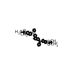 C=C(C)C(=O)Oc1ccc2cc(N(c3ccccc3)c3ccc4c(ccc5cc(N(c6ccccc6)c6ccc7cc(OC(=O)C(=C)C)ccc7c6)ccc54)c3)ccc2c1